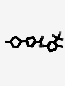 Cc1ccc(NC(=O)c2ccc(C3CCC(C)CC3)cc2)cc1C(F)(F)F